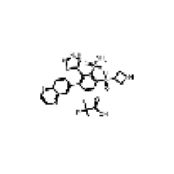 NS(=O)(=O)c1c(S(=O)(=O)C2CNC2)ccc(-c2ccc3nccnc3c2)c1-c1nnn[nH]1.O=C(O)C(F)(F)F